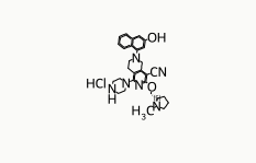 CN1CCC[C@H]1COc1nc(N2CCNCC2)c2c(c1C#N)CN(c1cc(O)cc3ccccc13)CC2.Cl